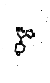 NCC(c1ccsc1)N1CCOCC1